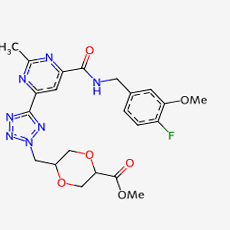 COC(=O)C1COC(Cn2nnc(-c3cc(C(=O)NCc4ccc(F)c(OC)c4)nc(C)n3)n2)CO1